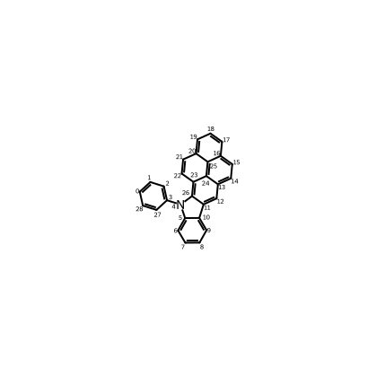 c1ccc(-n2c3ccccc3c3cc4ccc5cccc6ccc(c4c56)c32)cc1